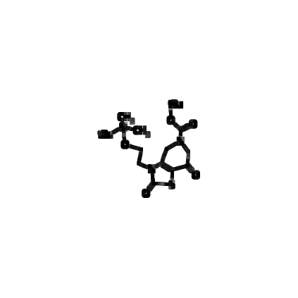 CC(C)(C)OC(=O)N1CC(=O)c2sc(=O)n(CCO[Si](C)(C)C(C)(C)C)c2C1